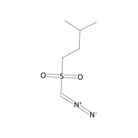 CC(C)CCS(=O)(=O)C=[N+]=[N-]